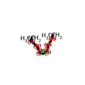 C=C(C)C(=O)OCCOC(=O)COC(=O)C(F)(F)CC(F)(F)C(=O)OCC(=O)OCCOC(=O)C(=C)C